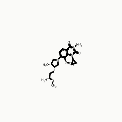 COc1c(N2C[C@H](CC[C@@H](N)OC)[C@H](C)C2)ccc2c(=O)n(N)c(=O)n(C3CC3)c12